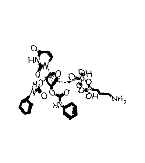 NCCCP(=O)(O)OP(=O)(O)OC[C@H]1O[C@@H](n2ccc(=O)[nH]c2=O)[C@@H](OC(=O)Nc2ccccc2)C1OC(=O)Nc1ccccc1